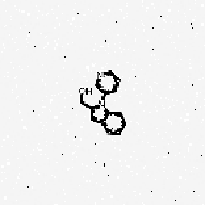 OCc1cc2ccccc2n1-c1cccnc1